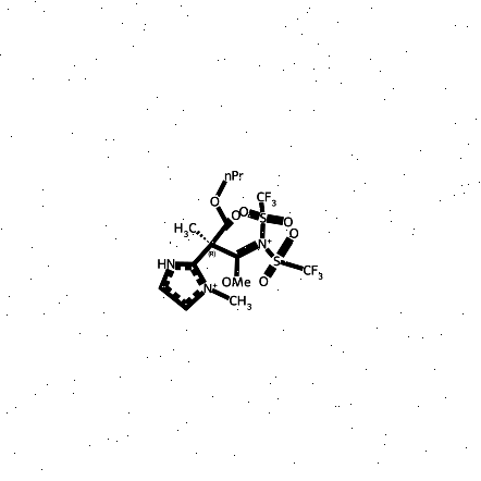 CCCOC(=O)[C@@](C)(C(OC)=[N+](S(=O)(=O)C(F)(F)F)S(=O)(=O)C(F)(F)F)c1[nH]cc[n+]1C